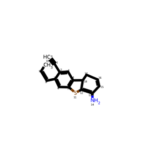 C#Cc1cc2c(cc1/C=C\C)SC1=C(N)C=CCC12